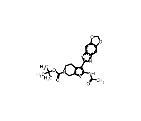 CC(=O)Nc1sc2c(c1-c1nc3cc4c(cc3s1)OCO4)CCN(C(=O)OC(C)(C)C)C2